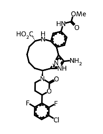 COC(=O)Nc1ccc2c(c1)N[C@@H](C(=O)O)CCCC[C@H](N1CCC(c3c(F)ccc(Cl)c3F)OC1=O)c1nc-2c(N)[nH]1